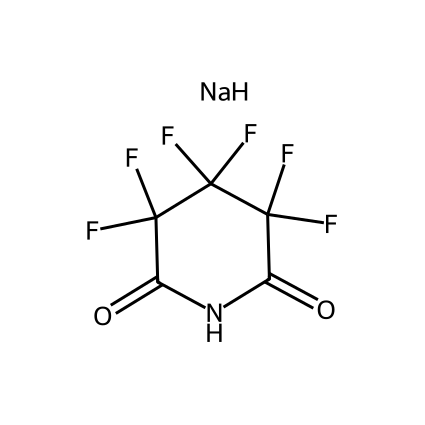 O=C1NC(=O)C(F)(F)C(F)(F)C1(F)F.[NaH]